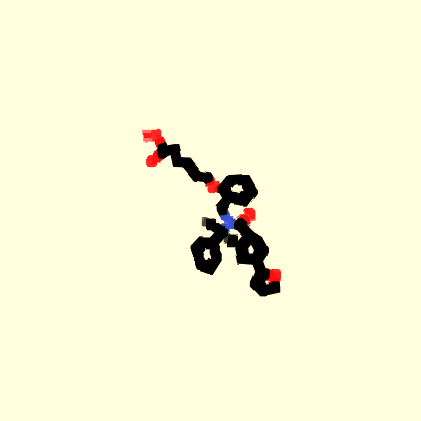 [2H]C([2H])(c1ccccc1)N(Cc1ccccc1OCCCCCC(=O)O)C(=O)c1ccc(-c2ccco2)cc1